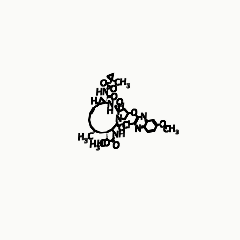 CC[C@@H]1C[C@H](C)CCC=C[C@@H]2C[C@@]2(C(=O)NS(=O)(=O)C2(C)CC2)NC(=O)[C@@H]2C[C@@H](Oc3nc4cc(OC)ccc4nc3Cl)CN2C(=O)[C@H]1NC(=O)O